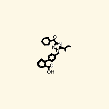 CCC(C)c1nc(C(=O)C2CCCCC2)nn1Cc1ccc(-c2ccccc2C(=O)O)cc1